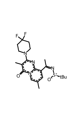 C/C(=N/[S@+]([O-])C(C)(C)C)c1cc(C)cn2c(=O)c(C)c(N3CCC(F)(F)CC3)nc12